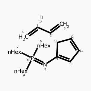 C=CC=C.CCCCCCP(CCCCCC)(CCCCCC)=NC1=CC=CC1.[Ti]